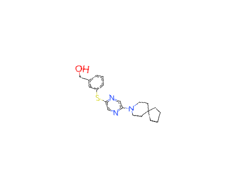 OCc1cccc(Sc2cnc(N3CCC4(CCCC4)CC3)cn2)c1